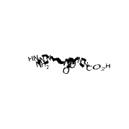 N=C(N)N1CCN(CCCCN2CC(CN3CCN(CC(=O)O)CC3)OC2=O)CC1